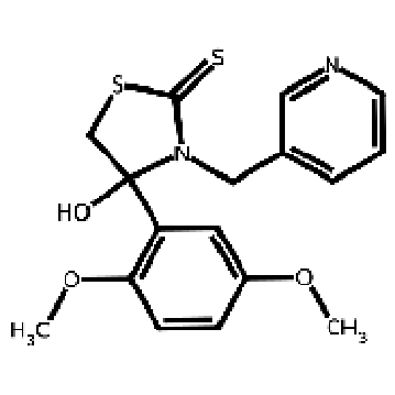 COc1ccc(OC)c(C2(O)CSC(=S)N2Cc2cccnc2)c1